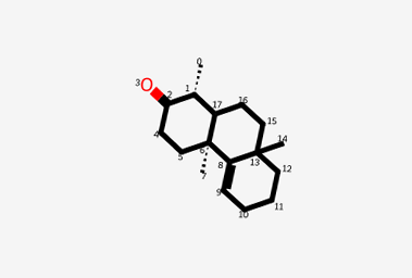 C[C@H]1C(=O)CC[C@]2(C)C3=CCCCC3(C)CCC12